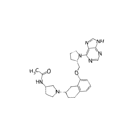 CC(=O)NC1CCN(C2CCc3cccc(OCC4CCCN4c4ncnc5[nH]cnc45)c3C2)C1